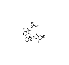 COc1cc(C2CCCc3nc(SCc4c(F)c[n+]([O-])cc4F)n(-c4ccc(F)cc4)c32)ccc1Cl.O=C(O)C(F)(F)F